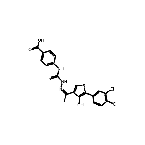 C/C(=N/NC(=S)Nc1ccc(C(=O)O)cc1)c1csc(-c2ccc(Cl)c(Cl)c2)c1O